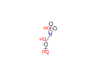 CCOC(=O)C(C)(C)c1ccc(C(O)CCCN2CCC(C(O)(c3ccccc3)c3ccccc3)CC2)cc1